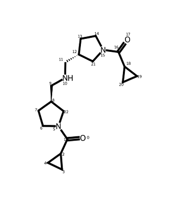 O=C(C1CC1)N1CC[C@@H](CNC[C@@H]2CCN(C(=O)C3CC3)C2)C1